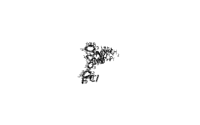 C=CC[C@H](C(N)=O)[C@@H](CC(C)C)C(=O)NC1N=C(c2ccccc2)c2ccccc2N(Cc2cccc(-c3ccc(F)c(Cl)c3)c2)C1=O